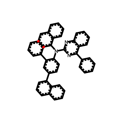 c1ccc(-c2cc(-c3cccc4ccccc34)ccc2N(c2nc(-c3ccccc3)c3ccccc3n2)c2cccc3ccccc23)cc1